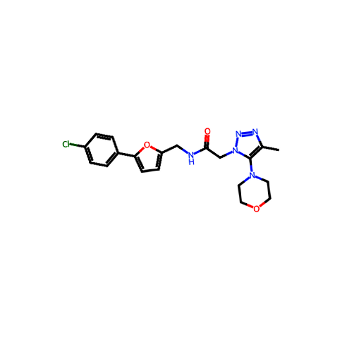 Cc1nnn(CC(=O)NCc2ccc(-c3ccc(Cl)cc3)o2)c1N1CCOCC1